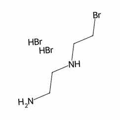 Br.Br.NCCNCCBr